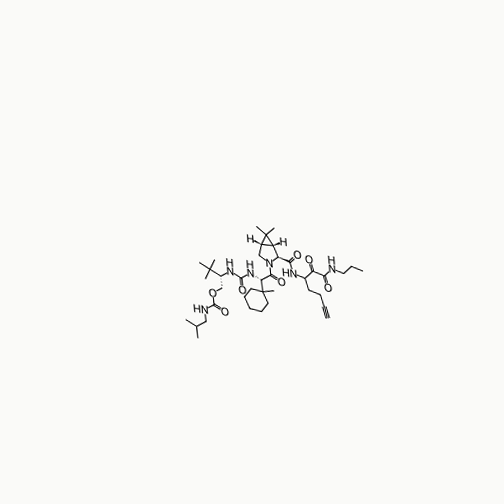 C#CCCC(NC(=O)[C@@H]1[C@@H]2[C@H](CN1C(=O)[C@@H](NC(=O)N[C@H](COC(=O)NCC(C)C)C(C)(C)C)C1(C)CCCCC1)C2(C)C)C(=O)C(=O)NCCC